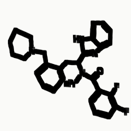 CCCN(C(=O)c1cccc(F)c1F)C(Cc1ccccc1CN1CCCCC1)c1nc2ccccc2[nH]1